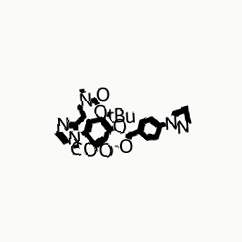 CN(CCC1=NC=C[N+]1(C(=O)[O-])c1ccc(OC(=O)c2ccc(-n3cccn3)cc2)cc1)C(=O)OC(C)(C)C